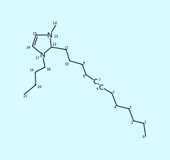 CCCCCCCCCCCCC1N(C)C=CN1CCCC